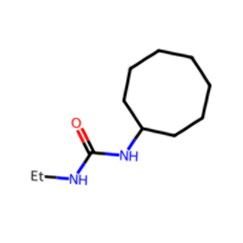 CCNC(=O)NC1CCCCCCC1